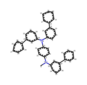 CN(c1ccc(N(c2cccc(-c3ccccc3)c2)c2cccc(-c3ccccc3)c2)cc1)c1cccc(-c2ccccc2)c1